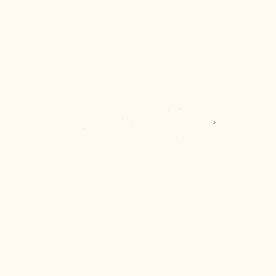 O=C(O)c1c(-c2ccc(O)cc2)oc2cc(O)ccc12